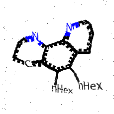 CCCCCCc1c(CCCCCC)c2cccnc2c2ncccc12